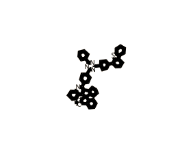 c1ccc(-c2nc(-c3ccc(-c4nc5ccccc5c5c4-c4ccccc4C54c5ccccc5-c5ccccc54)cc3)nc(-c3ccc(-c4cccc5c4sc4ccccc45)cc3)n2)cc1